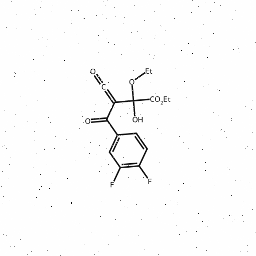 CCOC(=O)C(O)(OCC)C(=C=O)C(=O)c1ccc(F)c(F)c1